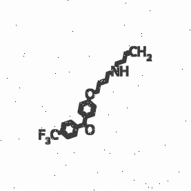 C=CCCNCC=CCOc1ccc(C(=O)c2ccc(C(F)(F)F)cc2)cc1